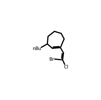 CCCCC1C=C(C=C(Cl)Br)CCCC1